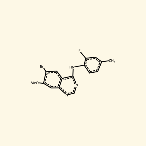 COc1cc2ncnc(Nc3ccc(C)cc3F)c2cc1Br